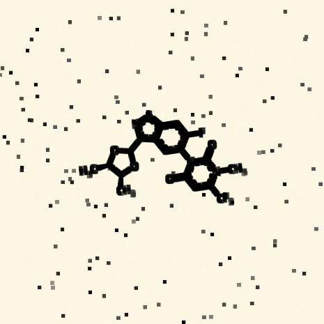 C[C@@H]1OC(c2nsc3cc(F)c(-n4c(=O)cc(C(F)(F)F)n(C)c4=O)cc23)O[C@@H]1C